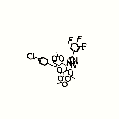 CC(=O)OCC1OC(SCc2ccc(Cl)cc2)C(OC(C)=O)C(n2cc(-c3cc(F)c(F)c(F)c3)nn2)C1OC(C)=O